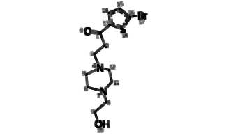 O=C(CCN1CCN(CCO)CC1)c1ccc(Br)s1